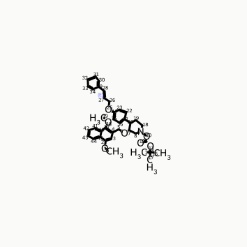 COc1cc(COC2CN(OC(=O)OC(C)(C)C)CCC2c2ccc(OC/C=C/c3ccccc3)cc2)c(OC)c2ccccc12